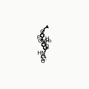 Cc1c(NC(=O)c2ccc(OCCC3CC3)cc2F)ccc2cc(CN[C@H]3CC[S@+]([O-])CC3)cnc12